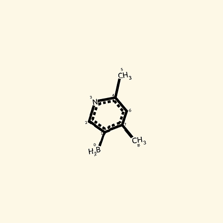 Bc1cnc(C)cc1C